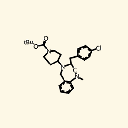 CN1CC(Cc2ccc(Cl)cc2)N(C2CCN(C(=O)OC(C)(C)C)CC2)Cc2ccccc21